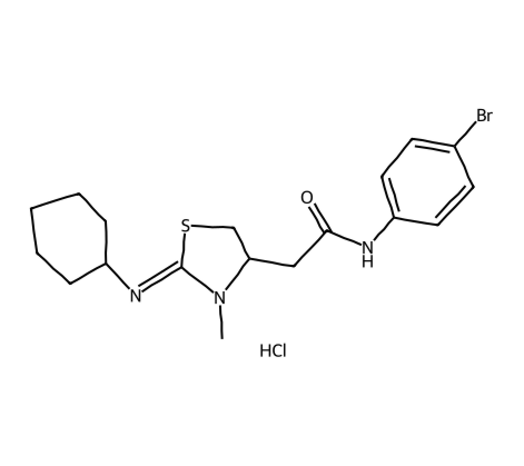 CN1/C(=N/C2CCCCC2)SCC1CC(=O)Nc1ccc(Br)cc1.Cl